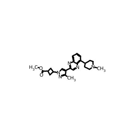 COC(=O)C1CC(n2cc(-c3cnc4c(C5CCN(C)CC5)cccc4n3)c(C)n2)C1